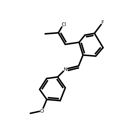 COc1ccc(/N=C/c2ccc(F)cc2/C=C(/C)Cl)cc1